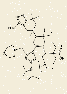 CC(C)[Si](C(C)C)(C(C)C)n1cc(CN2CCOCC2)c(C2=C3C4CC(C)(C)CCC4(C(=O)O)CCC3(C)C3(C)CCC4C(C)(C)c5n[nH]c(N)c5CC4(C)C3C2)c1